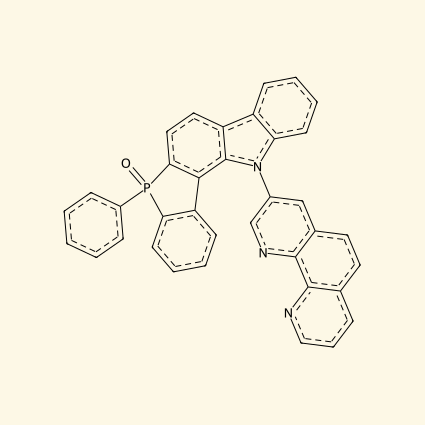 O=P1(c2ccccc2)c2ccccc2-c2c1ccc1c3ccccc3n(-c3cnc4c(ccc5cccnc54)c3)c21